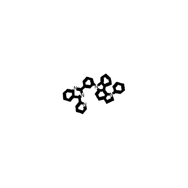 c1ccc(-n2ccc3ccc4c(c5ccccc5n4-c4cccc(-c5nc(-c6ccccn6)c6ccccc6n5)c4)c32)cc1